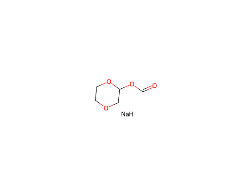 O=COC1COCCO1.[NaH]